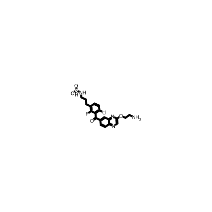 NCCOc1cnc2ccc(C(=O)c3c(Cl)ccc(CCCN[SH](=O)=O)c3F)cc2n1